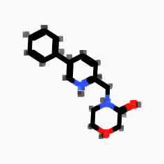 O=C1COCCN1Cc1ccc(-c2ccccc2)cn1